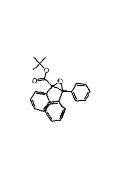 CC(C)(C)OC(=O)C1(c2ccccc2)OC1(c1ccccc1)c1ccccc1